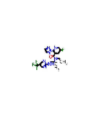 CCN(C(=O)c1cc(F)cnc1-n1nccn1)C(C)CNc1ncc(C(F)(F)F)cn1